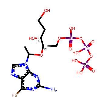 CC(O[C@H](COP(=O)(O)OP(=O)(O)OP(=O)(O)O)[C@H](O)CCO)n1cnc2c(S)nc(N)nc21